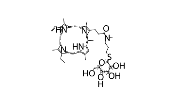 C=Cc1c(C)c2cc3nc(c(C)c4cc(C)c(cc5nc(cc1[nH]2)C(C)=C5CC)[nH]4)C(CCC(=O)N(C)CCCS[C@@H]1O[C@H](CO)[C@@H](O)[C@H](O)[C@@H]1O)=C3C